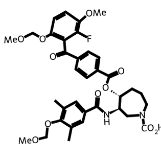 COCOc1ccc(OC)c(F)c1C(=O)c1ccc(C(=O)O[C@@H]2CCCN(C(=O)O)C[C@H]2NC(=O)c2cc(C)c(OCOC)c(C)c2)cc1